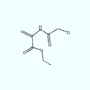 C=C(NC(=O)CCl)C(=O)OCC